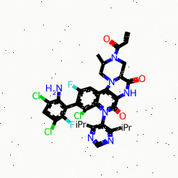 C=CC(=O)N1CC2C(=O)Nc3c(c4cc(F)c(-c5c(N)c(Cl)cc(Cl)c5F)c(Cl)c4n(-c4c(C(C)C)ncnc4C(C)C)c3=O)N2CC1C